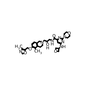 Cc1ncoc1COc1ccc2c(c1C)CCN(C[C@@H](O)CNC(=O)c1cc(NC3COC3)nc(N3CCOCC3)n1)C2